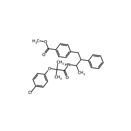 COC(=O)c1ccc(CC(c2ccccc2)C(C)NC(=O)C(C)(C)Oc2ccc(Cl)cc2)cc1